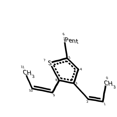 C/C=C\c1cc(C(C)CCC)sc1/C=C\C